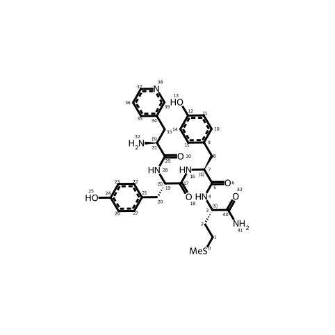 CSCC[C@H](NC(=O)[C@H](Cc1ccc(O)cc1)NC(=O)[C@H](Cc1ccc(O)cc1)NC(=O)[C@@H](N)Cc1cccnc1)C(N)=O